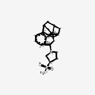 CC1C2CC3CC1CC(C2)C3(CC(=O)N1CCC(S(C)(=O)=O)C1)c1ccccc1